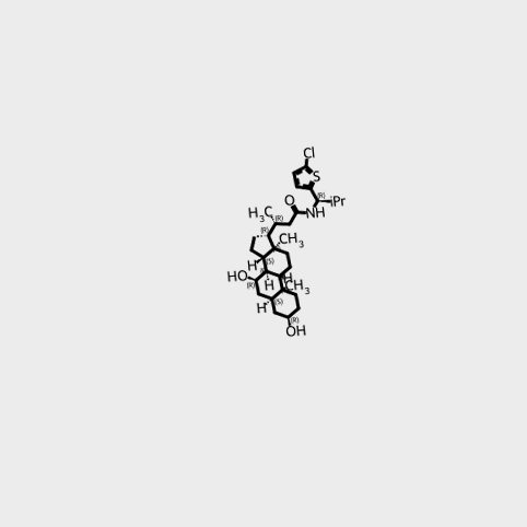 CC(C)[C@@H](NC(=O)C[C@@H](C)[C@H]1CC[C@H]2[C@@H]3[C@H](O)C[C@@H]4C[C@H](O)CC[C@]4(C)[C@H]3CC[C@]12C)c1ccc(Cl)s1